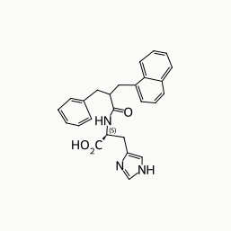 O=C(N[C@@H](Cc1c[nH]cn1)C(=O)O)C(Cc1ccccc1)Cc1cccc2ccccc12